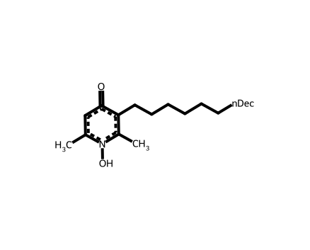 CCCCCCCCCCCCCCCCc1c(C)n(O)c(C)cc1=O